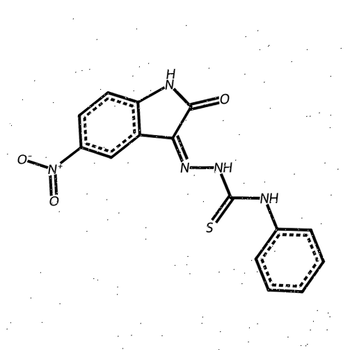 O=C1Nc2ccc([N+](=O)[O-])cc2/C1=N/NC(=S)Nc1ccccc1